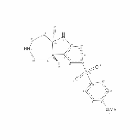 COc1ccc(S(=O)(=O)c2ccc3c(c2)[C@@H]2CCNCC[C@H]2N3)cc1